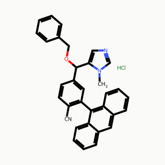 Cl.Cn1cncc1C(OCc1ccccc1)c1ccc(C#N)c(-c2c3ccccc3cc3ccccc23)c1